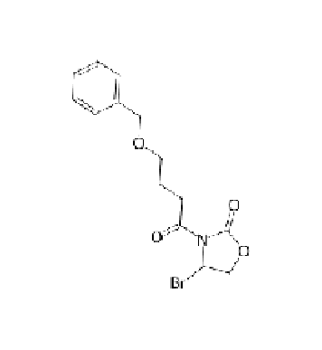 O=C(CCCOCc1ccccc1)N1C(=O)OCC1Br